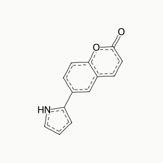 O=c1ccc2cc(-c3ccc[nH]3)ccc2o1